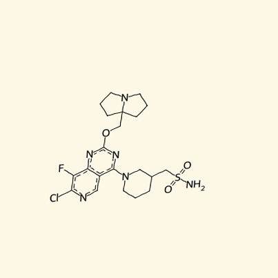 NS(=O)(=O)CC1CCCN(c2nc(OCC34CCCN3CCC4)nc3c(F)c(Cl)ncc23)C1